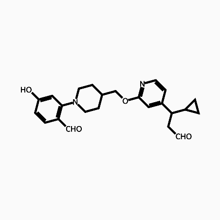 O=CCC(c1ccnc(OCC2CCN(c3cc(O)ccc3C=O)CC2)c1)C1CC1